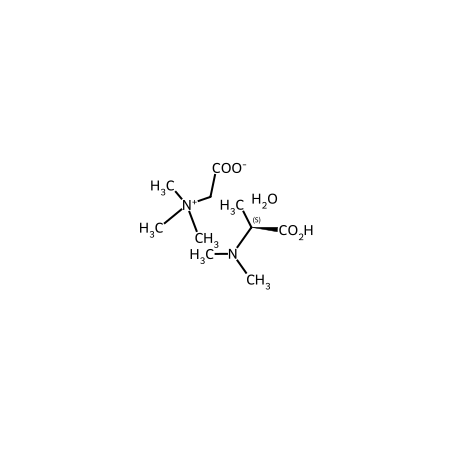 C[C@@H](C(=O)O)N(C)C.C[N+](C)(C)CC(=O)[O-].O